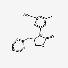 CC(=O)c1cc(C)cc([C@H]2C(=O)OCC2Cc2ccccc2)c1